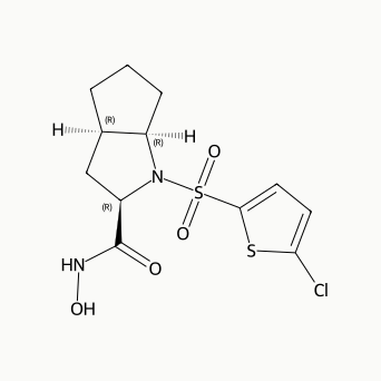 O=C(NO)[C@H]1C[C@H]2CCC[C@H]2N1S(=O)(=O)c1ccc(Cl)s1